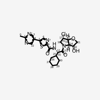 Cc1ncc(-c2cnc(C(=O)N[C@H](C(=O)N3C[C@H](Cl)[C@H]4OC[C@H](O)[C@H]43)C3CCCCC3)s2)cn1